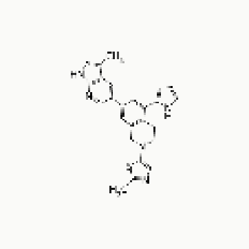 Cc1ncc(N2CCc3c(cc(-c4cnc5[nH]cc(C)c5c4)cc3-c3ccc[nH]3)C2)s1